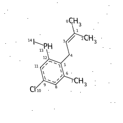 CC(C)=CCc1c(C)cc(Cl)cc1PI